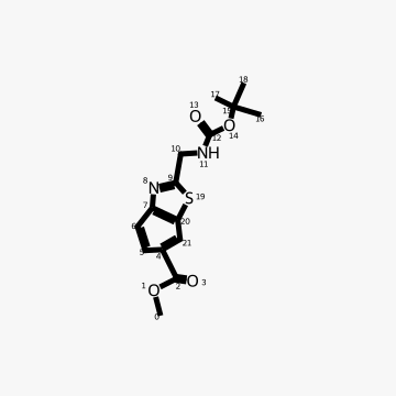 COC(=O)c1ccc2nc(CNC(=O)OC(C)(C)C)sc2c1